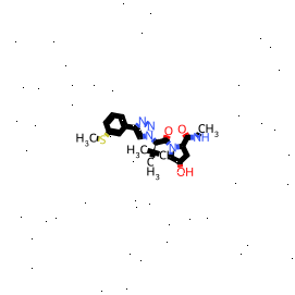 CNC(=O)C1CC(O)CN1C(=O)[C@@H](n1cc(-c2cccc(SC)c2)nn1)C(C)(C)C